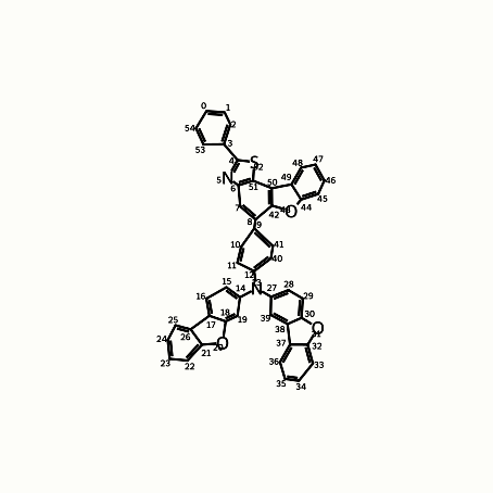 c1ccc(-c2nc3cc(-c4ccc(N(c5ccc6c(c5)oc5ccccc56)c5ccc6oc7ccccc7c6c5)cc4)c4oc5ccccc5c4c3s2)cc1